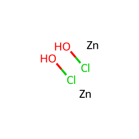 OCl.OCl.[Zn].[Zn]